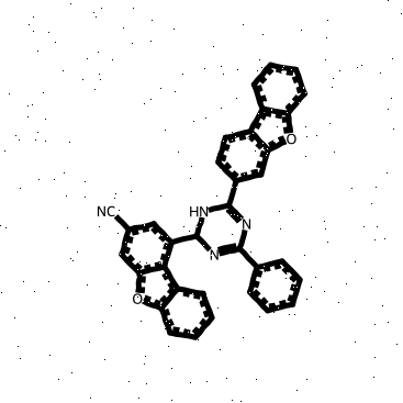 N#Cc1cc(C2N=C(c3ccccc3)N=C(c3ccc4c(c3)oc3ccccc34)N2)c2c(c1)oc1ccccc12